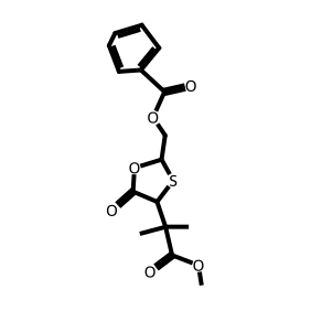 COC(=O)C(C)(C)C1SC(COC(=O)c2ccccc2)OC1=O